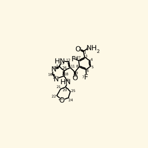 NC(=O)c1ccc(F)c(C(=O)c2c[nH]c3ncnc(NC4CCOCC4)c23)c1F